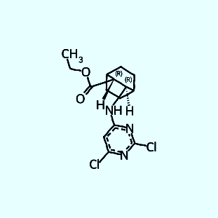 CCOC(=O)[C@@H]1C2CCC(CC2)[C@H]1Nc1cc(Cl)nc(Cl)n1